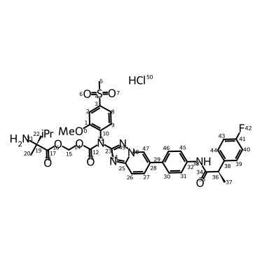 COc1cc(S(C)(=O)=O)ccc1N(C(=O)OCOC(=O)[C@](C)(N)C(C)C)c1nc2ccc(-c3ccc(NC(=O)[C@H](C)c4ccc(F)cc4)cc3)cn2n1.Cl